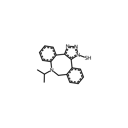 CC(C)N1Cc2ccccc2-c2c(nnn2S)-c2ccccc21